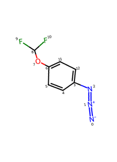 [N-]=[N+]=Nc1ccc(OC(F)F)cc1